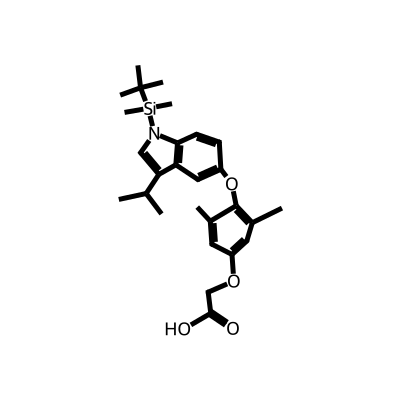 Cc1cc(OCC(=O)O)cc(C)c1Oc1ccc2c(c1)c(C(C)C)cn2[Si](C)(C)C(C)(C)C